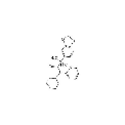 CC(C)(C(=O)N(c1ccccn1)C1CCCCC1)c1ccc2c(c1)OCO2